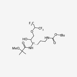 COC(C)(C)C(=O)N[C@@H](CCCNC(=O)OC(C)(C)C)C(O)COC(C(F)(F)F)C(F)(F)F